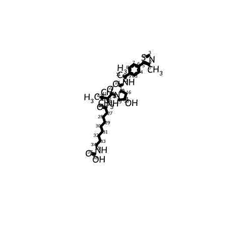 Cc1ncsc1-c1ccc([C@H](C)NC(=O)[C@@H]2C[C@@H](O)CN2C(=O)C(NC(=O)CCCCCCCCNC(=O)O)C(C)(C)C)cc1